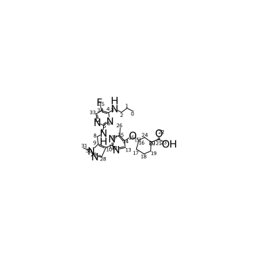 CCCNc1nc(NCc2c(-c3ncc(O[C@H]4CCC[C@H](C(=O)O)C4)c(C)n3)cnn2C)ncc1F